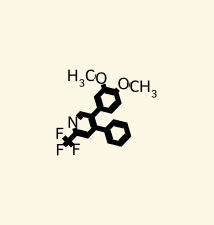 COc1ccc(-c2cnc(C(F)(F)F)cc2-c2ccccc2)cc1OC